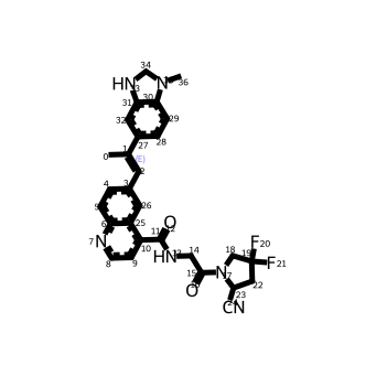 C/C(=C\c1ccc2nccc(C(=O)NCC(=O)N3CC(F)(F)CC3C#N)c2c1)c1ccc2c(c1)NCN2C